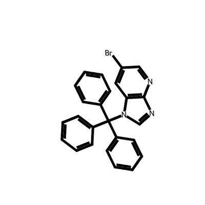 Brc1cnc2ncn(C(c3ccccc3)(c3ccccc3)c3ccccc3)c2c1